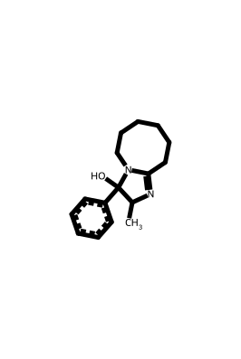 CC1N=C2CCCCCCN2C1(O)c1ccccc1